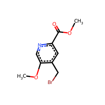 COC(=O)c1cc(CBr)c(OC)cn1